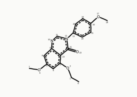 CCOc1cc(OC)cc2ncn(-c3ccc(OC)cc3)c(=O)c12